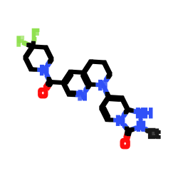 CCN1NC2C=C(N3CCCc4cc(C(=O)N5CCC(F)(F)CC5)cnc43)C=CN2C1=O